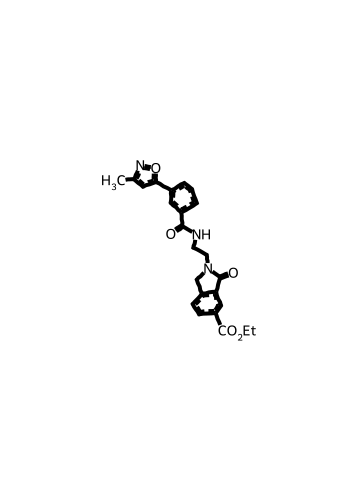 CCOC(=O)c1ccc2c(c1)C(=O)N(CCNC(=O)c1cccc(-c3cc(C)no3)c1)C2